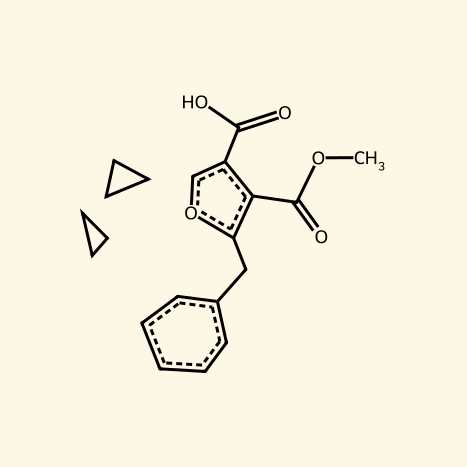 C1CC1.C1CC1.COC(=O)c1c(C(=O)O)coc1Cc1ccccc1